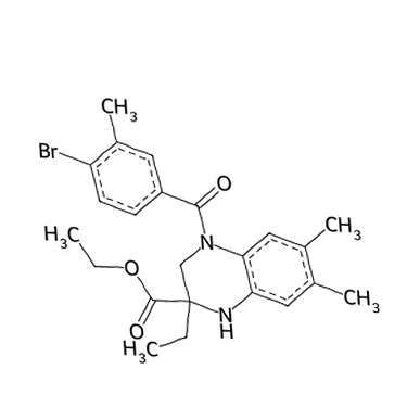 CCOC(=O)C1(CC)CN(C(=O)c2ccc(Br)c(C)c2)c2cc(C)c(C)cc2N1